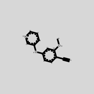 C#Cc1ccc(Oc2cccnc2)cc1OC